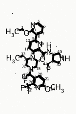 CCOc1ncccc1-c1ccc(N2CCN(C(=O)c3ccc(OC)nc3C(F)(F)F)C[C@H]2CC)c(C(=O)N[C@H]2CNC[C@H]2CF)n1